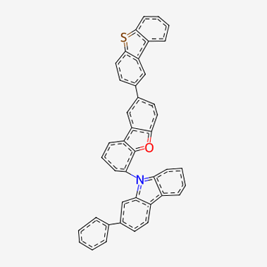 c1ccc(-c2ccc3c4ccccc4n(-c4cccc5c4oc4ccc(-c6ccc7sc8ccccc8c7c6)cc45)c3c2)cc1